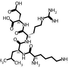 CC(C)C[C@H](NC(=O)[C@H](N)CCCCN)C(=O)N[C@@H](CCCNC(=N)N)C(=O)N[C@H](CC(=O)O)C(=O)O